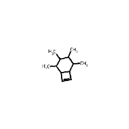 CC1C(C)C(C)C2C=CC2C1C